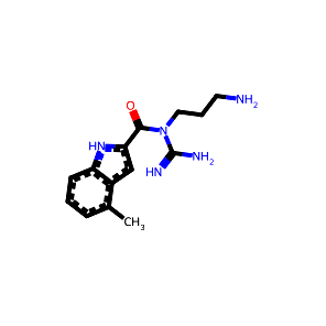 Cc1cccc2[nH]c(C(=O)N(CCCN)C(=N)N)cc12